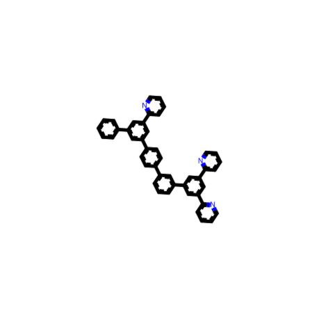 c1ccc(-c2cc(-c3ccc(-c4cccc(-c5cc(-c6ccccn6)cc(-c6ccccn6)c5)c4)cc3)cc(-c3ccccn3)c2)cc1